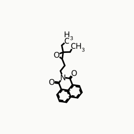 CCC1(CC)OC1CCN1C(=O)c2cccc3cccc(c23)C1=O